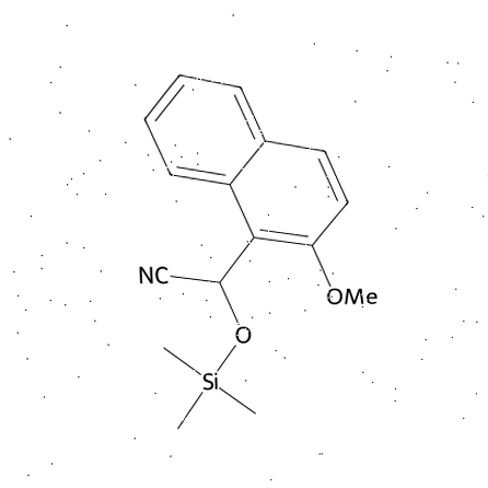 COc1ccc2ccccc2c1C(C#N)O[Si](C)(C)C